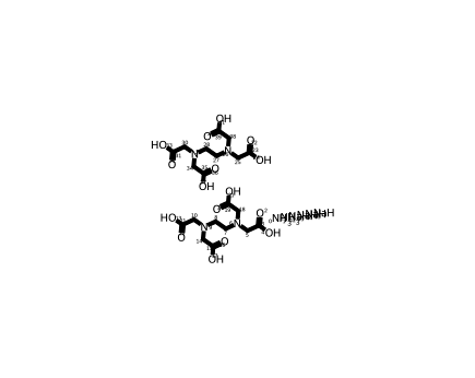 N.N.O=C(O)CN(CCN(CC(=O)O)CC(=O)O)CC(=O)O.O=C(O)CN(CCN(CC(=O)O)CC(=O)O)CC(=O)O.[NaH].[NaH].[NaH].[NaH]